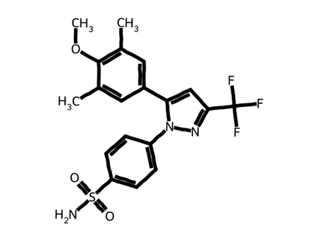 COc1c(C)cc(-c2cc(C(F)(F)F)nn2-c2ccc(S(N)(=O)=O)cc2)cc1C